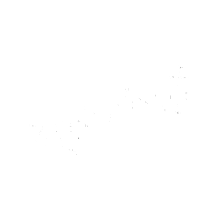 Nc1ccc(S(=O)(=O)O)c2ccc(N=Nc3ccc(-c4ccc(N=Nc5ccc6c(S(=O)(=O)O)ccc(N)c6c5O)c(Cl)c4)cc3Cl)c(O)c12